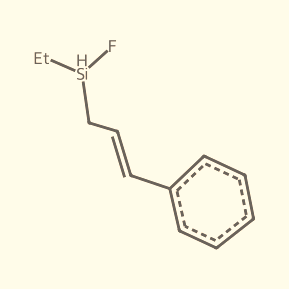 CC[SiH](F)CC=Cc1ccccc1